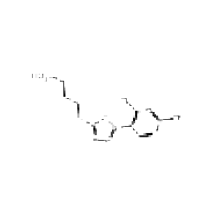 O=C(O)CCCSc1nnc(-c2ccc(C(F)(F)F)cc2Cl)o1